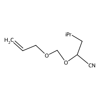 C=CCOCOC(C#N)CC(C)C